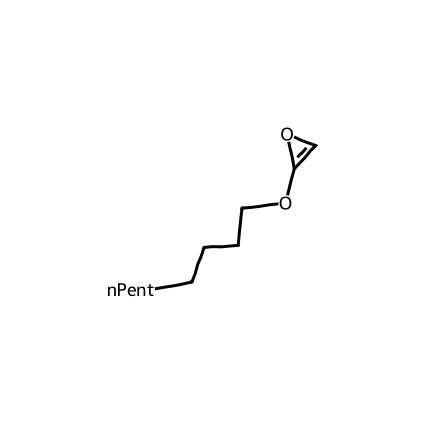 CCCCCCCCCOC1=CO1